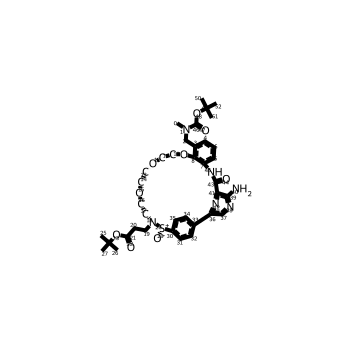 CN(Cc1cccc2c1OCCOCCOCCN(CCC(=O)OC(C)(C)C)[S+]([O-])c1ccc(cc1)-c1cnc(N)c(n1)C(=O)N2)C(=O)OC(C)(C)C